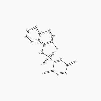 O=C1C=CC(=O)C(S(=O)(=O)Oc2[c]([K])ccc3ccccc23)=C1